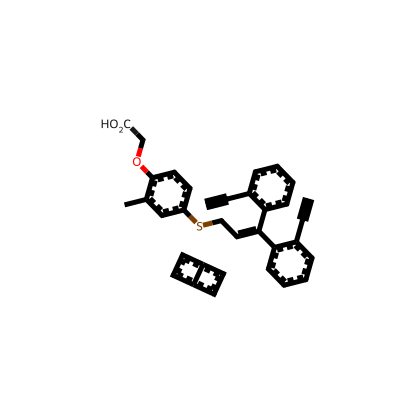 C#Cc1ccccc1C(=CCSc1ccc(OCC(=O)O)c(C)c1)c1ccccc1C#C.c1cc2ccc1-2